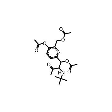 CC(=O)OCc1nc(C(OC(C)=O)C(NC(C)(C)C)C(C)=O)ccc1OC(C)=O